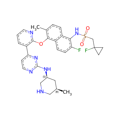 Cc1ccc2c(NS(=O)(=O)CC3(F)CC3)c(F)ccc2c1Oc1ncccc1-c1ccnc(N[C@@H]2CNC[C@H](C)C2)n1